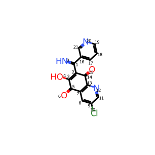 N=C(C1=C(O)C(=O)c2cc(Cl)cnc2C1=O)c1cccnc1